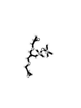 C[Si](C)(C)O[Si](C)(C)CC(COCC1CO1)COCC1CO1